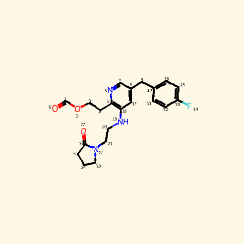 O=COCCc1ncc(Cc2ccc(F)cc2)cc1NCCN1CCCC1=O